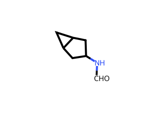 O=CNC1CC2CC2C1